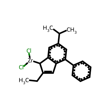 CCC1=Cc2c(-c3ccccc3)cc(C(C)C)cc2[CH]1[Zr]([Cl])[Cl]